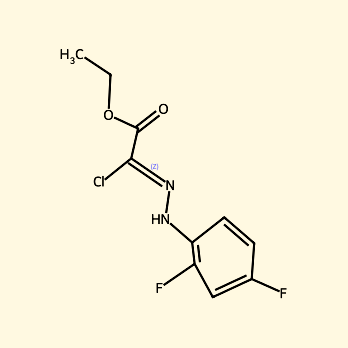 CCOC(=O)/C(Cl)=N/Nc1ccc(F)cc1F